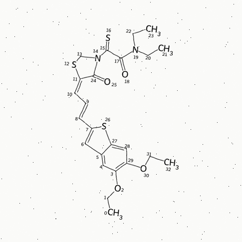 CCOc1cc2cc(C=CC=C3SCN(C(=S)C(=O)N(CC)CC)C3=O)sc2cc1OCC